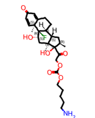 C[C@@H]1C[C@H]2[C@@H]3CCC4=CC(=O)C=C[C@]4(C)[C@@]3(F)[C@@H](O)C[C@]2(C)[C@@]1(O)C(=O)COC(=O)OCCCCCN